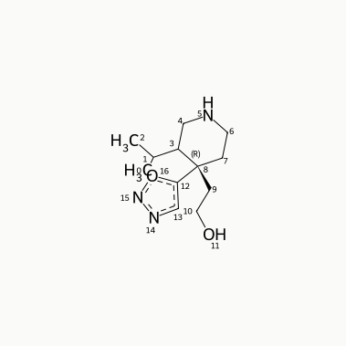 CC(C)C1CNCC[C@]1(CCO)c1cnno1